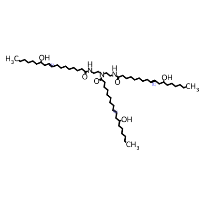 CCCCCCC(O)C/C=C/CCCCCCCC(=O)NCCN(CCNC(=O)CCCCCCC/C=C/CC(O)CCCCCC)C(=O)CCCCCCC/C=C/CC(O)CCCCCC